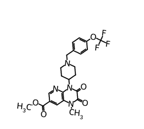 COC(=O)c1cnc2c(c1)n(C)c(=O)c(=O)n2C1CCN(Cc2ccc(OC(F)(F)F)cc2)CC1